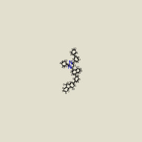 CC1(C)c2ccccc2-c2ccc(-c3cccc(-c4ccc(-c5cc(-c6cccc(-c7ccccc7)c6)nc(-c6ccccc6)n5)c5ccccc45)c3)cc21